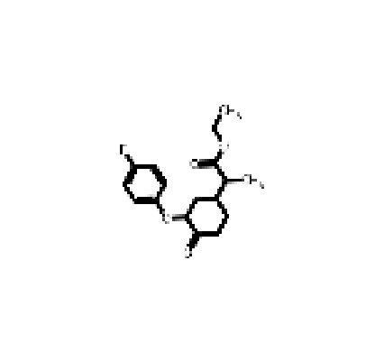 CCOC(=O)C(C)C1CCC(=O)C(Oc2ccc(F)cc2)C1